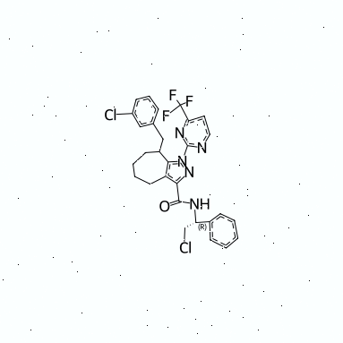 O=C(N[C@@H](CCl)c1ccccc1)c1nn(-c2nccc(C(F)(F)F)n2)c2c1CCCCC2Cc1cccc(Cl)c1